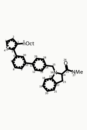 CCCCCCCCc1ccsc1-c1cccc(-c2ccc(CN3c4ccccc4CC3C(=O)NC)cc2)c1